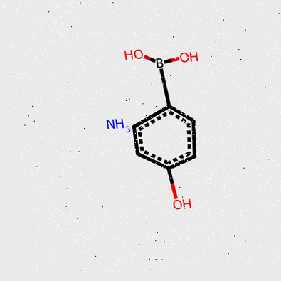 N.OB(O)c1ccc(O)cc1